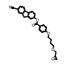 N#Cc1ccc2c(c1)Cc1cc(OC(=O)c3ccc(OCCCCOCC4CO4)cc3)ccc1-2